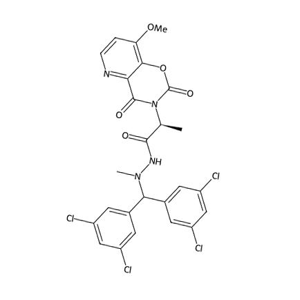 COc1ccnc2c(=O)n([C@@H](C)C(=O)NN(C)C(c3cc(Cl)cc(Cl)c3)c3cc(Cl)cc(Cl)c3)c(=O)oc12